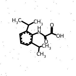 CC(C)c1cccc(C(C)C)c1NC(=O)C(=O)O